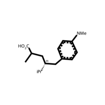 CNc1ccc(C[C@@H](CC(C)C(=O)O)C(C)C)cc1